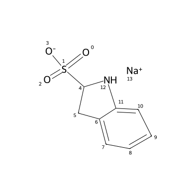 O=S(=O)([O-])C1Cc2ccccc2N1.[Na+]